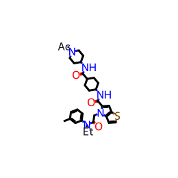 CCN(C(=O)Cn1c(C(=O)NC2CCC(C(=O)NC3CCN(C(C)=O)CC3)CC2)cc2sccc21)c1cccc(C)c1